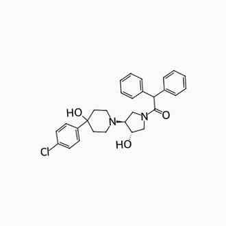 O=C(C(c1ccccc1)c1ccccc1)N1C[C@H](O)[C@@H](N2CCC(O)(c3ccc(Cl)cc3)CC2)C1